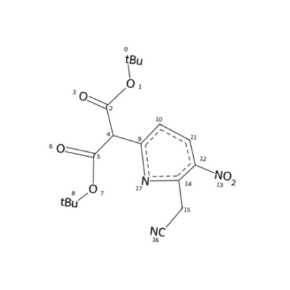 CC(C)(C)OC(=O)C(C(=O)OC(C)(C)C)c1ccc([N+](=O)[O-])c(CC#N)n1